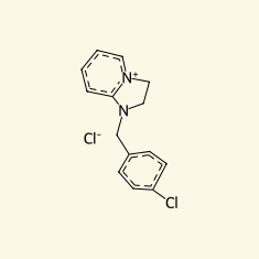 Clc1ccc(CN2CC[n+]3ccccc32)cc1.[Cl-]